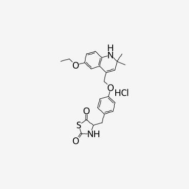 CCOc1ccc2c(c1)C(COc1ccc(CC3NC(=O)SC3=O)cc1)=CC(C)(C)N2.Cl